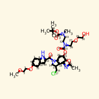 COCCOc1ccc2[nH]c(C(=O)N3CC(CCl)c4c3cc(OC(=O)N(CCOCCO)CCN(C)C(=O)OC(C)(C)C)c3oc(C)nc43)cc2c1